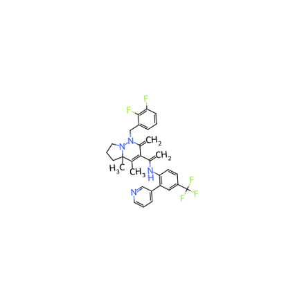 C=C(Nc1ccc(C(F)(F)F)cc1-c1cccnc1)C1=C(C)C2(C)CCCN2N(Cc2cccc(F)c2F)C1=C